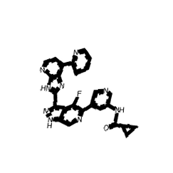 O=C(Nc1cncc(-c2ncc3[nH]nc(-c4nc5c(-c6ccccn6)ccnc5[nH]4)c3c2F)c1)C1CC1